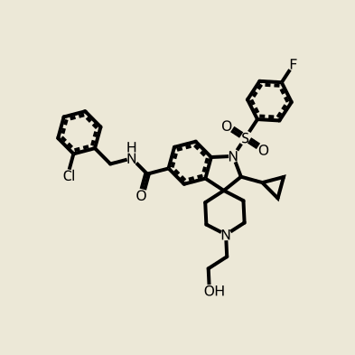 O=C(NCc1ccccc1Cl)c1ccc2c(c1)C1(CCN(CCO)CC1)C(C1CC1)N2S(=O)(=O)c1ccc(F)cc1